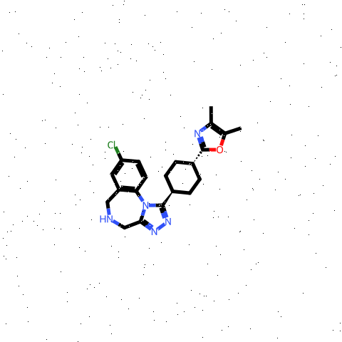 Cc1nc([C@H]2CC[C@H](c3nnc4n3-c3ccc(Cl)cc3CNC4)CC2)oc1C